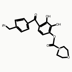 CC(C)Cc1ccc(C(=O)c2ccc(OC(=O)N3CCOCC3)c(O)c2O)cc1